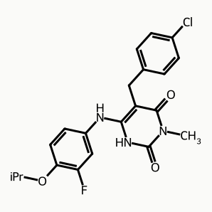 CC(C)Oc1ccc(Nc2[nH]c(=O)n(C)c(=O)c2Cc2ccc(Cl)cc2)cc1F